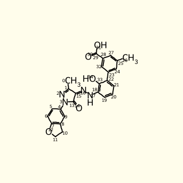 CC1=NN(c2ccc3c(c2)CCO3)C(=O)C1=NNc1cccc(-c2cc(C)cc(C(=O)O)c2)c1O